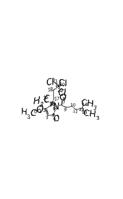 COC1=CC(=O)N(C(=O)CCCC(C)C)[C@]1(C)CCC(Cl)(Cl)Cl